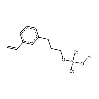 C=Cc1cccc(CCCO[Si](CC)(CC)OCC)c1